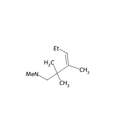 CC/C=C(/C)C(C)(C)CNC